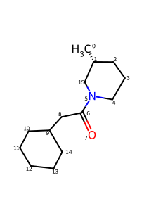 C[C@@H]1CCCN(C(=O)CC2CCCCC2)C1